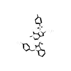 CCOC(=O)c1cc2c([C@@H]3C[C@@]34C(=O)N(Cc3ccc([N+](=O)[O-])cc3)c3ccccc34)cn(C)c(=O)c2n1S(=O)(=O)c1ccc(C)cc1